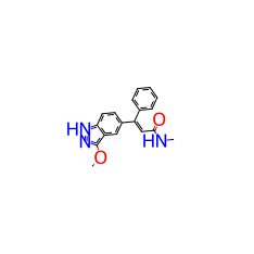 CNC(=O)C=C(c1ccccc1)c1ccc2[nH]nc(OC)c2c1